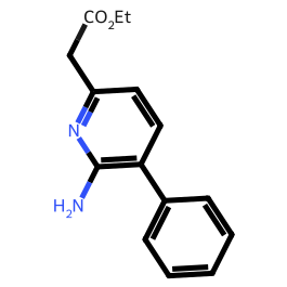 CCOC(=O)Cc1ccc(-c2ccccc2)c(N)n1